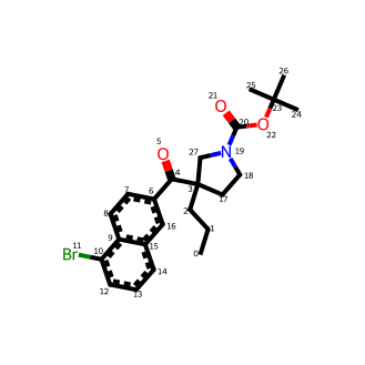 CCCC1(C(=O)c2ccc3c(Br)cccc3c2)CCN(C(=O)OC(C)(C)C)C1